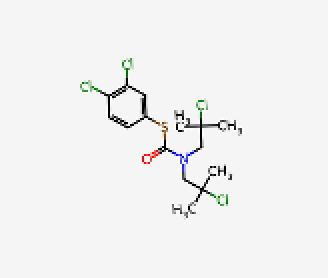 CC(C)(Cl)CN(CC(C)(C)Cl)C(=O)Sc1ccc(Cl)c(Cl)c1